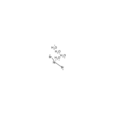 O.O.O.O.[Br][Ni][Br]